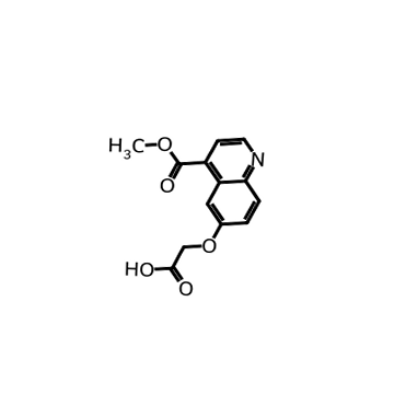 COC(=O)c1ccnc2ccc(OCC(=O)O)cc12